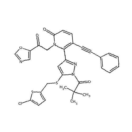 CC(C)(C)C(=O)n1nc(-c2c(C#Cc3ccccc3)ccc(=O)n2CC(=O)c2cnco2)cc1SCc1ccc(Cl)s1